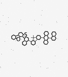 CC1(C)c2ccc(-c3c4ccccc4c(-c4cccc5ccccc45)c4ccccc34)cc2-c2cccc(-c3cc4sc5ccc6c7ccccc7oc6c5c4c4ccccc34)c21